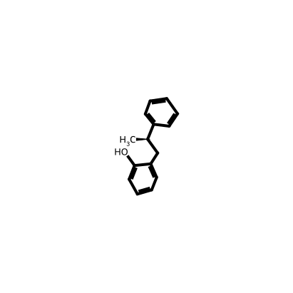 C[C@H](Cc1ccccc1O)c1ccccc1